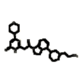 CCCN1CCCC(C2C=CC=C3C2CCN3C(=O)Cc2nc(N3CCOCC3)cc(=O)[nH]2)C1